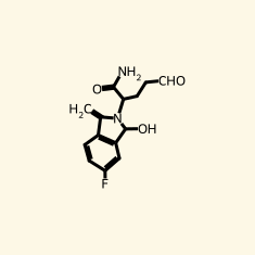 C=C1c2ccc(F)cc2C(O)N1C(CCC=O)C(N)=O